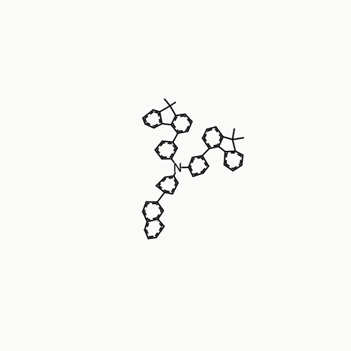 CC1(C)c2ccccc2-c2c(-c3cccc(N(c4ccc(-c5ccc6ccccc6c5)cc4)c4cccc(-c5cccc6c5-c5ccccc5C6(C)C)c4)c3)cccc21